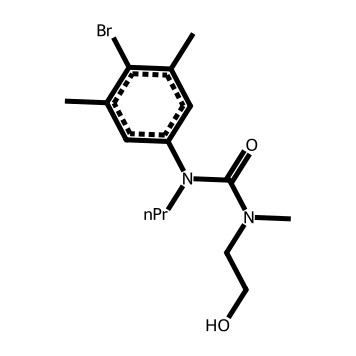 CCCN(C(=O)N(C)CCO)c1cc(C)c(Br)c(C)c1